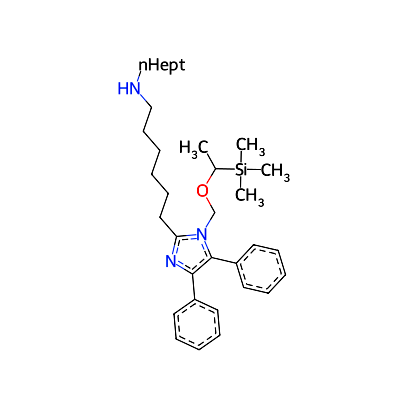 CCCCCCCNCCCCCCc1nc(-c2ccccc2)c(-c2ccccc2)n1COC(C)[Si](C)(C)C